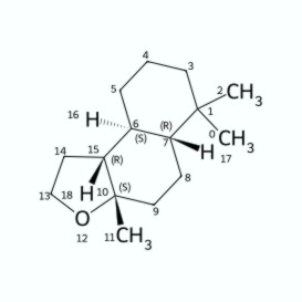 CC1(C)CCC[C@H]2[C@H]1CC[C@]1(C)OCC[C@H]21